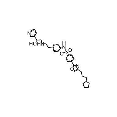 O=S(=O)(Nc1ccc(CCNCC(O)c2cccnc2)cc1)c1ccc(-c2nc(CCCC3CCCC3)co2)cc1